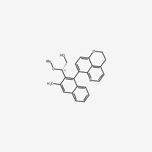 Cc1cc2ccccc2c(-c2ccc3c4c(ccnc24)CCO3)c1[C@@H](CO)OC(C)(C)C